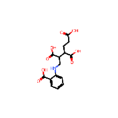 O=C(O)CCC(C(=O)O)C(CNc1ccccc1C(=O)O)C(=O)O